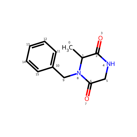 CC1C(=O)NCC(=O)N1Cc1ccccc1